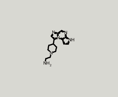 NCCN1CCC(c2cnc3cnc4[nH]ccc4n23)CC1